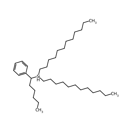 CCCCCCCCCCCC[SiH](CCCCCCCCCCCC)C(CCCCC)c1ccccc1